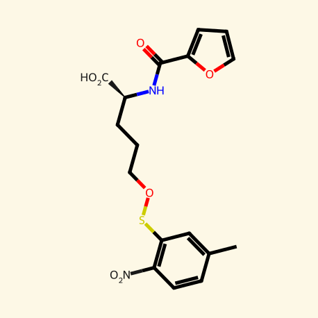 Cc1ccc([N+](=O)[O-])c(SOCCC[C@H](NC(=O)c2ccco2)C(=O)O)c1